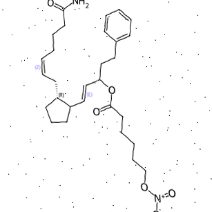 NC(=O)CCC/C=C\C[C@H]1CCCC1/C=C/C(CCc1ccccc1)OC(=O)CCCCCO[N+](=O)[O-]